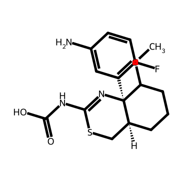 COC1CCC[C@H]2CSC(NC(=O)O)=N[C@@]12c1cc(N)ccc1F